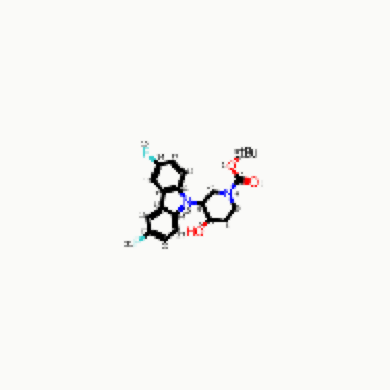 CC(C)(C)OC(=O)N1CCC(O)C(n2c3ccc(F)cc3c3cc(F)ccc32)C1